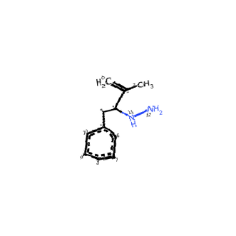 C=C(C)C(Cc1ccccc1)NN